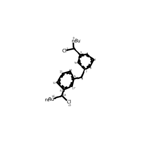 CCCCC(Cl)c1cccc(Cc2cccc(C(Cl)CCCC)c2)c1